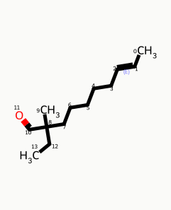 C/C=C/CCCCCC(C)(C=O)CC